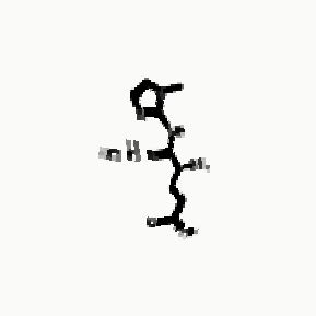 Cl.Cl.Cn1ccnc1NC(=O)[C@@H](N)CCC(=O)O